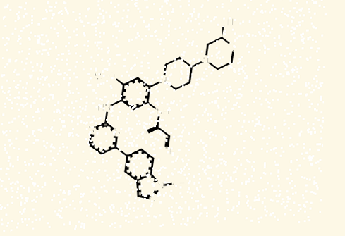 C=CC(=O)Nc1cc(Nc2nccc(-c3ccc4c(cnn4C)c3)n2)c(OC)cc1N1CCC(N2CCO[C@H](C)C2)CC1